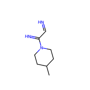 CC1CCN(C(=N)C=N)CC1